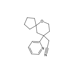 N#CCC1(c2ccccn2)CCOC2(CCCC2)C1